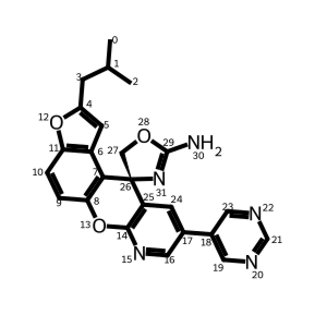 CC(C)Cc1cc2c3c(ccc2o1)Oc1ncc(-c2cncnc2)cc1[C@]31COC(N)=N1